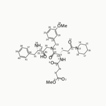 COC(=O)CCC(=O)N[C@@H](CCC(=O)N1CCCCC1)C(=O)N(Cc1cccc(OC)c1)C[C@@H](O)[C@@H](N)Cc1ccccc1